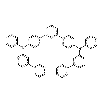 c1ccc(-c2cccc(N(c3ccccc3)c3ccc(-c4cccc(-c5ccc(N(c6ccccc6)c6cccc(-c7ccccc7)c6)cc5)c4)cc3)c2)cc1